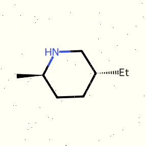 CC[C@@H]1CC[C@@H](C)NC1